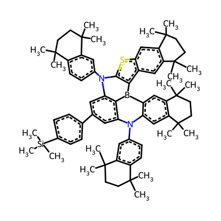 CC1(C)CCC(C)(C)c2cc(N3c4cc5c(cc4B4c6c3cc(-c3ccc([Si](C)(C)C)cc3)cc6N(c3ccc6c(c3)C(C)(C)CCC6(C)C)c3sc6cc7c(cc6c34)C(C)(C)CCC7(C)C)C(C)(C)CCC5(C)C)ccc21